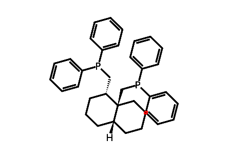 c1ccc(P(C[C@H]2CCC[C@H]3CCCC[C@]32CP(c2ccccc2)c2ccccc2)c2ccccc2)cc1